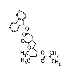 C=C(C)C(=O)OC(CC(C)C)C1CC(CC(=O)OC2c3ccccc3-c3ccccc32)C(=O)O1